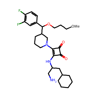 COCCCOC(c1ccc(F)c(F)c1)C1CCCN(c2c(NC(CN)CC3CCCCC3)c(=O)c2=O)C1